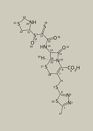 Cc1nnc(SCC2=C(C(=O)O)N3C(=O)C(NC(=O)C(=S)[S+]([O-])C4CSCN4)[C@@H]3SC2)s1